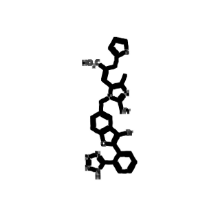 CCCc1nc(C)c(C=C(Cc2cccs2)C(=O)O)n1Cc1ccc2oc(-c3ccccc3-c3nnn[nH]3)c(Br)c2c1